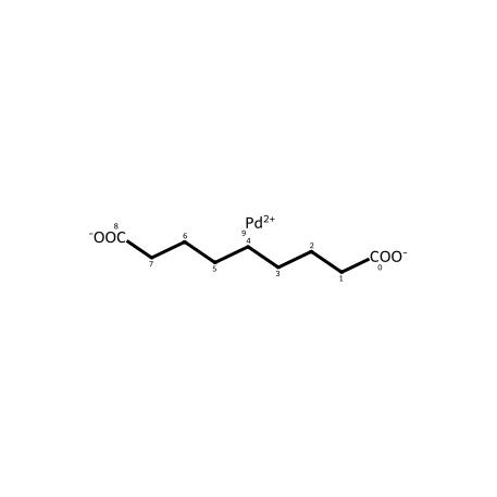 O=C([O-])CCCCCCCC(=O)[O-].[Pd+2]